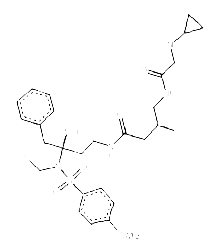 COc1ccc(S(=O)(=O)N(CC(C)C)C(O)(CCNC(=O)CC(C)CNC(=O)CNC2CC2)Cc2ccccc2)cc1